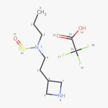 CCCN(CCC1CNC1)[SH]=O.O=C(O)C(F)(F)F